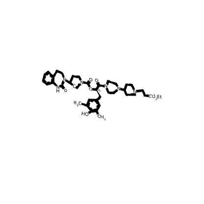 CCOC(=O)CCN1CCC(N2CCN(C(=O)[C@@H](Cc3cc(C)c(O)c(C)c3)OC(=O)N3CCC(N4CCc5ccccc5NC4=O)CC3)CC2)CC1